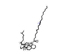 CCCCCCCC/C=C/CCCCCCCC(=O)OC1CCCC2CC[C@@H]3[C@H](CC[C@]4(C)[C@@H]([C@H](C)CCCC(C)C)CC[C@@H]34)[C@]21C